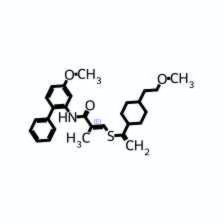 C=C(S/C=C(\C)C(=O)Nc1cc(OC)ccc1-c1ccccc1)C1CCC(CCOC)CC1